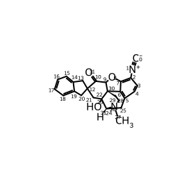 [C-]#[N+]c1ccc2c3c1OC1C(=O)C4(Cc5ccccc5C4)CC4(O)[C@@H](C2)N(C)CC[C@]314